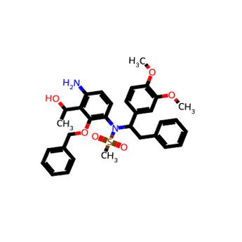 COc1ccc(C(Cc2ccccc2)N(c2ccc(N)c(C(C)O)c2OCc2ccccc2)S(C)(=O)=O)cc1OC